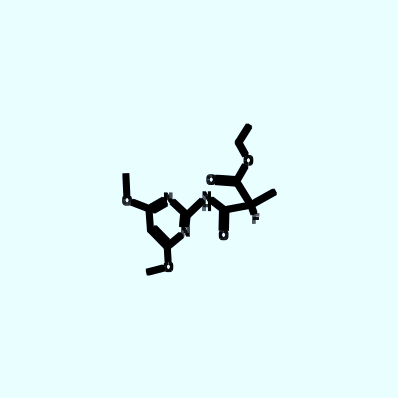 CCOC(=O)C(C)(F)C(=O)Nc1nc(OC)cc(OC)n1